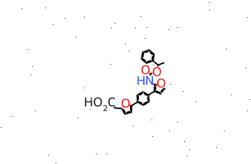 CC(OC(=O)Nc1occc1-c1ccc(-c2ccc(CC(=O)O)o2)cc1)c1ccccc1